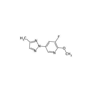 COc1ncc(-n2ncc(C)n2)cc1F